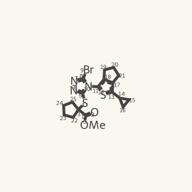 COC(=O)C1(Sc2nnc(Br)n2-c2sc(C3CC3)c3c2CCC3)CCCC1